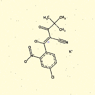 CC(C)(C)C(=O)/C(C#N)=C(\[O-])c1ccc(Cl)cc1[N+](=O)[O-].[K+]